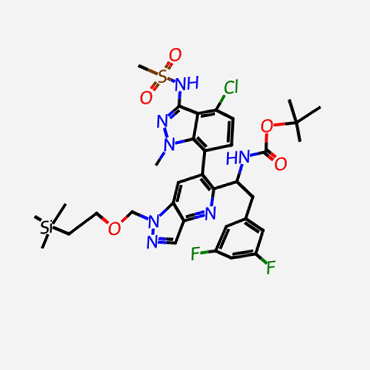 Cn1nc(NS(C)(=O)=O)c2c(Cl)ccc(-c3cc4c(cnn4COCC[Si](C)(C)C)nc3C(Cc3cc(F)cc(F)c3)NC(=O)OC(C)(C)C)c21